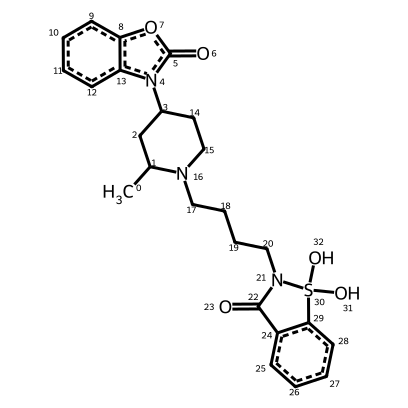 CC1CC(n2c(=O)oc3ccccc32)CCN1CCCCN1C(=O)c2ccccc2S1(O)O